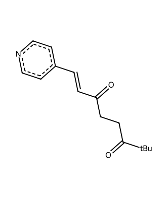 CC(C)(C)C(=O)CCC(=O)/C=C/c1ccncc1